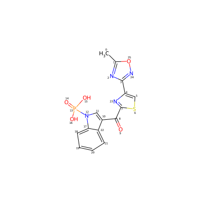 Cc1nc(-c2csc(C(=O)c3cn(P(=O)(O)O)c4ccccc34)n2)no1